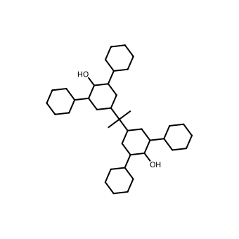 CC(C)(C1CC(C2CCCCC2)C(O)C(C2CCCCC2)C1)C1CC(C2CCCCC2)C(O)C(C2CCCCC2)C1